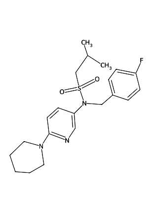 CC(C)CS(=O)(=O)N(Cc1ccc(F)cc1)c1ccc(N2CCCCC2)nc1